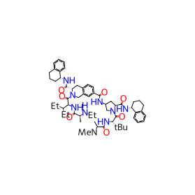 CCN[C@@H](C)C(=O)N[C@H](C(=O)N1Cc2cc(C(=O)N[C@H]3C[C@@H](C(=O)N[C@@H]4CCCc5ccccc54)N(C(=O)[C@@H](NC(=O)[C@H](C)NC)C(C)(C)C)C3)ccc2C[C@H]1C(=O)N[C@@H]1CCCc2ccccc21)C(CC)CC